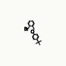 CC(C)(C)c1ccc(OCc2ccccc2Br)cc1